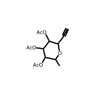 C#CC1OC(C)C(OC(C)=O)C(OC(C)=O)C1OC(C)=O